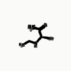 CC(C)[C@@H](NCC(F)(F)F)C(N)=O